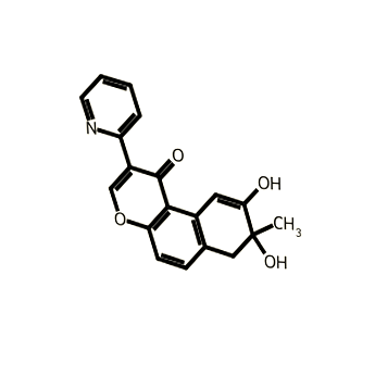 CC1(O)Cc2ccc3occ(-c4ccccn4)c(=O)c3c2C=C1O